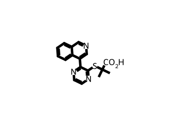 CC(C)(Sc1nccnc1-c1cncc2ccccc12)C(=O)O